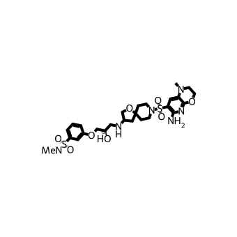 CNS(=O)(=O)c1cccc(OC[C@@H](O)CNC2COC3(CCN(S(=O)(=O)c4cc5c(nc4N)OCCN5C)CC3)C2)c1